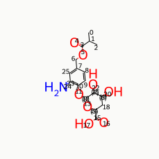 CC(C)C(=O)OCc1ccc(O[C@H]2O[C@H](C(=O)O)C[C@H](O)[C@H]2O)c(N)c1